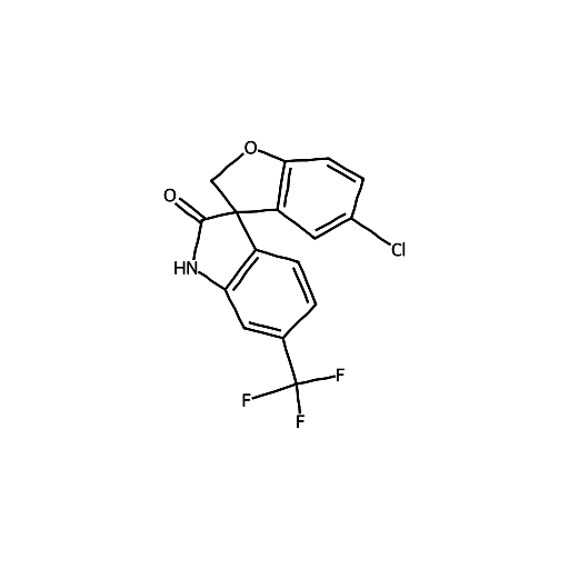 O=C1Nc2cc(C(F)(F)F)ccc2C12COc1ccc(Cl)cc12